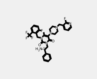 Cc1c(N2CCN(Cc3cccnc3F)CC2)c(=O)n(C[C@@H](N)c2ccccc2)c(=O)n1Cc1c(F)cccc1C(F)(F)F